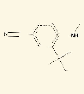 CCC(C)(C)c1cc(C#N)ccc1NC